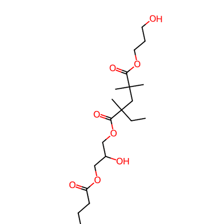 CCCC(=O)OCC(O)COC(=O)C(C)(CC)CC(C)(C)C(=O)OCCCO